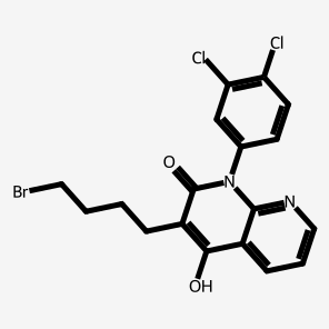 O=c1c(CCCCBr)c(O)c2cccnc2n1-c1ccc(Cl)c(Cl)c1